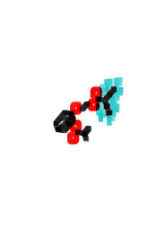 C=C(C)C(=O)OC12CC3CC(CC(OCCOC(=O)C(C(F)(F)C(F)(F)F)C(F)(F)C(F)(F)F)(C3)C1)C2